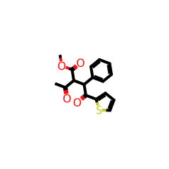 COC(=O)C(C(C)=O)C(C(=O)c1cccs1)c1ccccc1